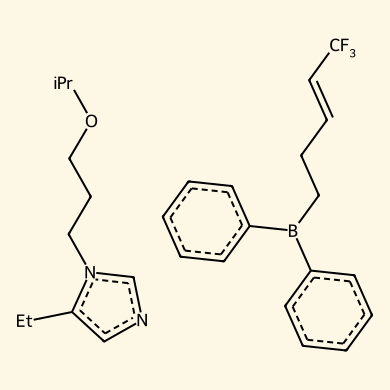 CCc1cncn1CCCOC(C)C.FC(F)(F)C=CCCB(c1ccccc1)c1ccccc1